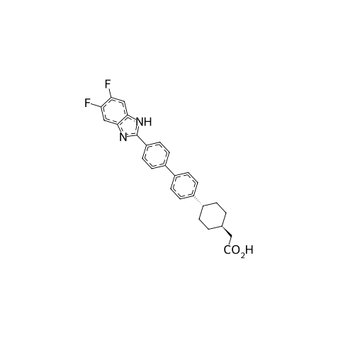 O=C(O)C[C@H]1CC[C@H](c2ccc(-c3ccc(-c4nc5cc(F)c(F)cc5[nH]4)cc3)cc2)CC1